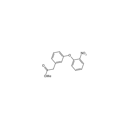 COC(=O)Cc1cccc(Oc2ccccc2[N+](=O)[O-])c1